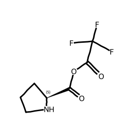 O=C(OC(=O)C(F)(F)F)[C@@H]1CCCN1